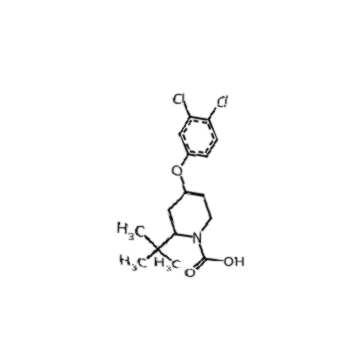 CC(C)(C)C1CC(Oc2ccc(Cl)c(Cl)c2)CCN1C(=O)O